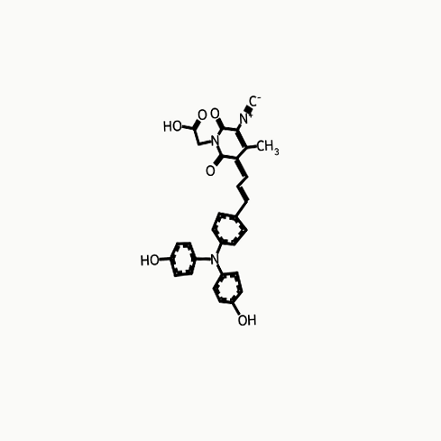 [C-]#[N+]C1=C(C)/C(=C/C=C/c2ccc(N(c3ccc(O)cc3)c3ccc(O)cc3)cc2)C(=O)N(CC(=O)O)C1=O